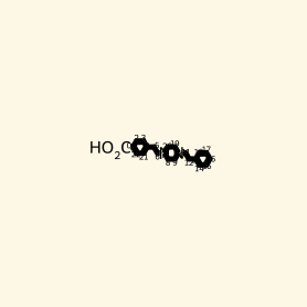 O=C(O)c1ccc(CCN2CCN(CCc3ccccc3)CC2)cc1